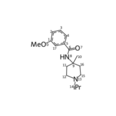 COc1cccc(C(=O)NC2(C)CCN(C(C)C)CC2)c1